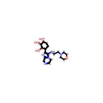 Oc1ccc(-c2nc3cnccn3c2NCCN2CCOCC2)c(O)c1O